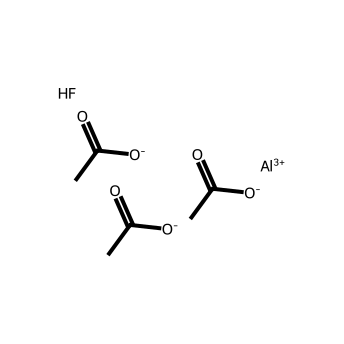 CC(=O)[O-].CC(=O)[O-].CC(=O)[O-].F.[Al+3]